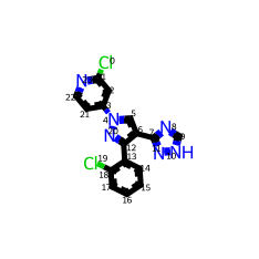 Clc1cc(-n2cc(-c3nc[nH]n3)c(-c3ccccc3Cl)n2)ccn1